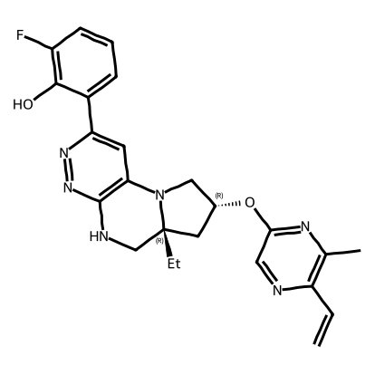 C=Cc1ncc(O[C@H]2CN3c4cc(-c5cccc(F)c5O)nnc4NC[C@@]3(CC)C2)nc1C